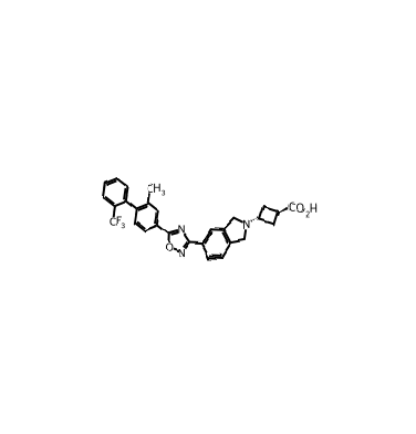 Cc1cc(-c2nc(-c3ccc4c(c3)CN([C@H]3C[C@H](C(=O)O)C3)C4)no2)ccc1-c1ccccc1C(F)(F)F